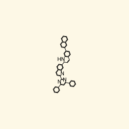 C1=CC(c2ccc3ccc(-c4nc(-c5ccccc5)cc(-c5ccccc5)n4)nc3c2)Nc2cc(-c3ccc4ccccc4c3)ccc21